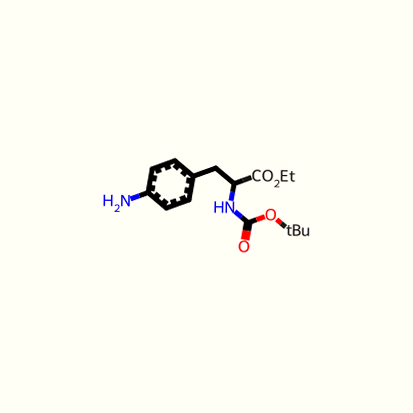 CCOC(=O)C(Cc1ccc(N)cc1)NC(=O)OC(C)(C)C